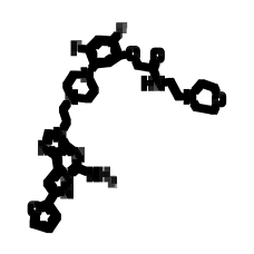 Nc1nc2c(ncn2CCN2CCN(c3cc(OCC(=O)NCCN4CCOCC4)c(F)cc3F)CC2)c2cc(-c3ccco3)nn12